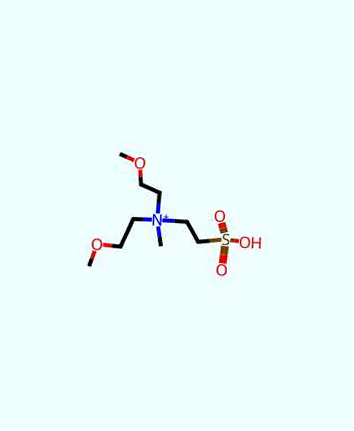 COCC[N+](C)(CCOC)CCS(=O)(=O)O